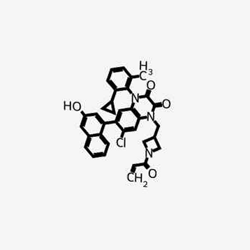 C=CC(=O)N1CC(Cn2c(=O)c(=O)n(-c3c(C)cccc3C3CC3)c3cc(-c4cc(O)cc5ccccc45)c(Cl)cc32)C1